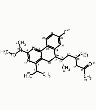 CON(C)c1nc2c(c(C(C)C)n1)C[C@H]([C@@H](C)C[C@@H](C)CC(C)=O)c1cc(F)ccc1-2